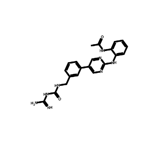 CC(=O)Nc1ccccc1Nc1ncc(-c2cccc(CNC(=O)NC(=N)N)c2)cn1